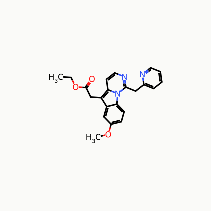 CCOC(=O)Cc1c2cc(OC)ccc2n2c(Cc3ccccn3)nccc12